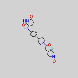 O=CN1CCC(CC(=O)N2CCC(c3ccc(NC4CCC(=O)NC4=O)cc3)CC2)C(F)(F)C1